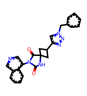 O=C1NC2(CC(c3cn(Cc4ccccc4)nn3)C2)C(=O)N1c1cncc2ccccc12